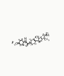 CCNC(=O)C(C)c1cnc(C2=CCN(C(=O)Nc3ccc(C(F)(F)F)cn3)CC2)c(Cl)c1